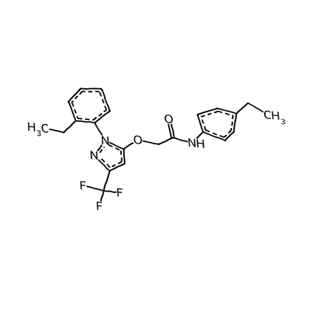 CCc1ccc(NC(=O)COc2cc(C(F)(F)F)nn2-c2ccccc2CC)cc1